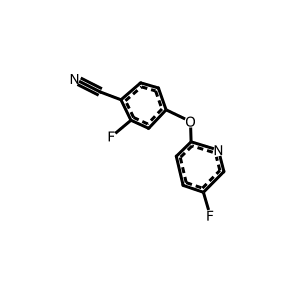 N#Cc1ccc(Oc2ccc(F)cn2)cc1F